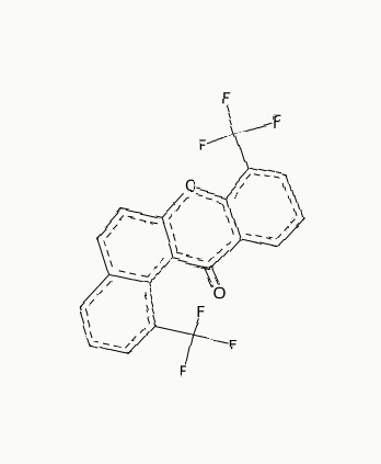 O=c1c2cccc(C(F)(F)F)c2oc2ccc3cccc(C(F)(F)F)c3c12